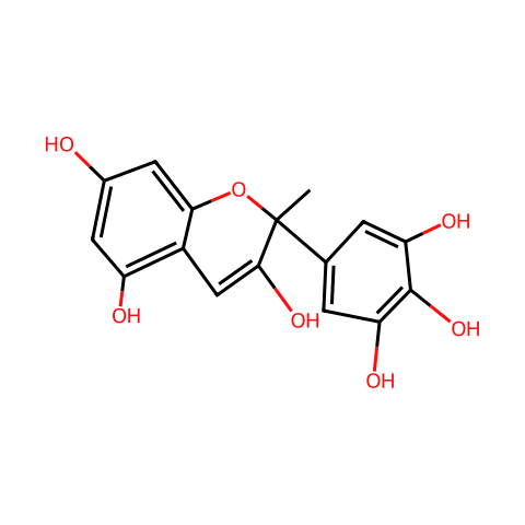 CC1(c2cc(O)c(O)c(O)c2)Oc2cc(O)cc(O)c2C=C1O